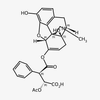 CC(=O)O[C@@H](C(=O)O)[C@H](C(=O)OC1=CC[C@@]2(O)[C@H]3Cc4ccc(O)c5c4[C@@]2(CCN3C)[C@H]1O5)c1ccccc1